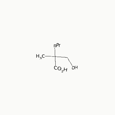 CCCC(C)(CO)C(=O)O